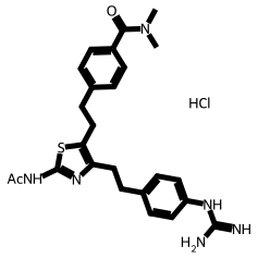 CC(=O)Nc1nc(CCc2ccc(NC(=N)N)cc2)c(CCc2ccc(C(=O)N(C)C)cc2)s1.Cl